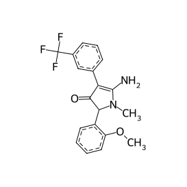 COc1ccccc1C1C(=O)C(c2cccc(C(F)(F)F)c2)=C(N)N1C